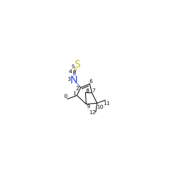 CC1C(N=C=S)=CC2CC1C2(C)C